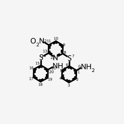 Nc1ccccc1Sc1ccc([N+](=O)[O-])c(Sc2ccccc2N)n1